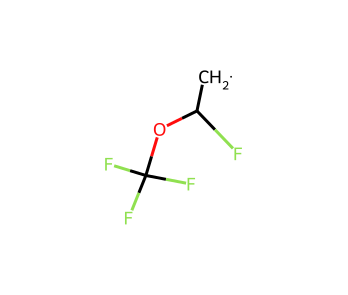 [CH2]C(F)OC(F)(F)F